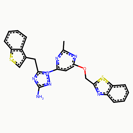 Cc1nc(OCc2nc3ccccc3s2)cc(-n2nc(N)nc2Cc2csc3ccccc23)n1